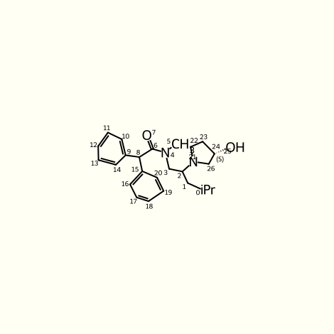 CC(C)CC(CN(C)C(=O)C(c1ccccc1)c1ccccc1)N1CC[C@H](O)C1